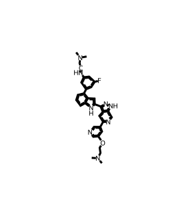 CN(C)CCNc1cc(F)cc(-c2cccc3[nH]c(-c4n[nH]c5cnc(-c6cncc(OCCN(C)C)c6)cc45)cc23)c1